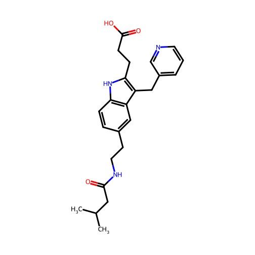 CC(C)CC(=O)NCCc1ccc2[nH]c(CCC(=O)O)c(Cc3cccnc3)c2c1